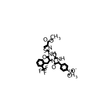 COC(=O)c1csc(NC(=O)C(Cc2ccccc2C(F)(F)F)N2C(=O)NC(c3ccc([S+](C)[O-])cc3)C2=O)n1